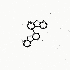 c1cnc2c(c1)-c1cccc(-c3ccnc4c3-c3cccnc3C4)c1C2